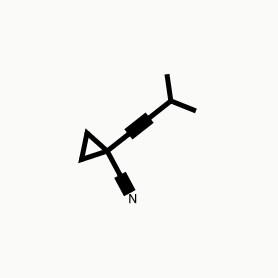 CC(C)C#CC1(C#N)CC1